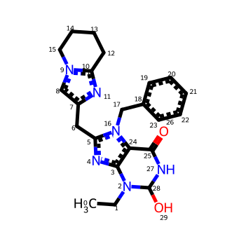 CCN1c2nc(Cc3cn4c(n3)CCCC4)n(Cc3ccccc3)c2C(=O)NC1O